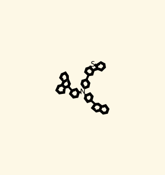 c1cc(-c2cc3ccccc3c3ccccc23)cc(N(c2ccc(-c3ccc4ccccc4c3)cc2)c2ccc(-c3ccc4sc5ccccc5c4c3)cc2)c1